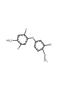 O=C(O)c1cc(F)c(Oc2ccc(OC(F)(F)F)c(Cl)c2)cc1F